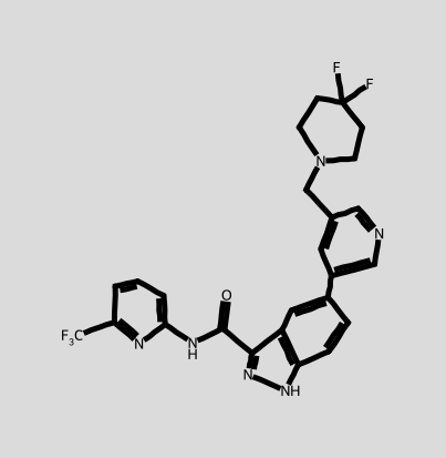 O=C(Nc1cccc(C(F)(F)F)n1)c1n[nH]c2ccc(-c3cncc(CN4CCC(F)(F)CC4)c3)cc12